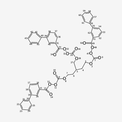 O=C(OCCC(CCOC(=O)OOC(=O)c1cccc(-c2ccccc2)c1)COC(=O)OOC(=O)c1cccc(-c2ccccc2)c1)OOC(=O)c1cccc(-c2ccccc2)c1